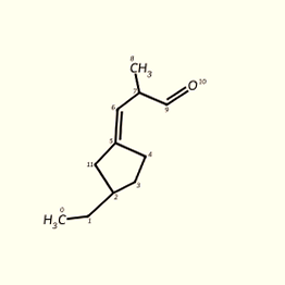 CCC1CCC(=CC(C)C=O)C1